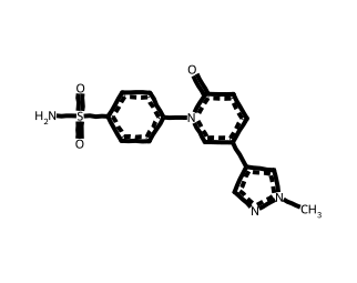 Cn1cc(-c2ccc(=O)n(-c3ccc(S(N)(=O)=O)cc3)c2)cn1